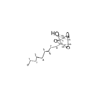 CCCCCCCCCC12OC1(O)C1OC1C1OC12